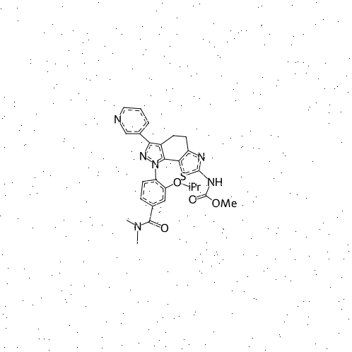 COC(=O)Nc1nc2c(s1)-c1c(c(-c3cccnc3)nn1-c1ccc(C(=O)N(C)C)cc1OC(C)C)CC2